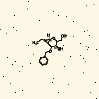 CCN1C2C(OCc3ccccc3)[C@H](O)C(CO)O[C@@H]21